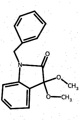 COC1(OC)C(=O)N(Cc2ccccc2)c2ccccc21